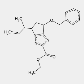 C=CC(C)C1CC(OCc2ccccc2)c2nc(C(=O)OCC)nn21